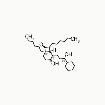 CCCCCCC1C(=O)[C@]2(CCCCCC)CC[C@H](O)[C@@H](CC[C@@H](O)C3CCCCC3)[C@H]12